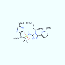 COCCC(OC)n1c(NS(=O)(=O)[C@@H](C)[C@H](OC)c2cnc(OC)cn2)nnc1-c1cccc(OC)n1